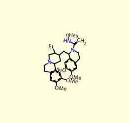 C=C(NCCCCCC)N1CCc2cc(OC)c(OC)cc2C1CC1CC2c3cc(OC)c(OC)cc3CCN2CC1CC